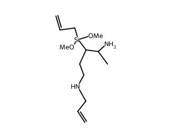 C=CCNCCC(C(C)N)[Si](CC=C)(OC)OC